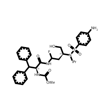 COC(=O)N[C@H](C(=O)NC(F)C[C@@H](CO)N(C(C)C)S(=O)(=O)c1ccc(N)cc1)C(c1ccccc1)c1ccccc1